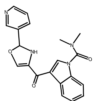 CN(C)C(=O)n1cc(C(=O)C2=COC(c3cccnc3)N2)c2ccccc21